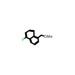 COCc1cccc2c(F)cccc12